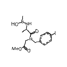 COC(=O)CN(Cc1ccc(I)cc1)C(=O)C(C)NB(C)O